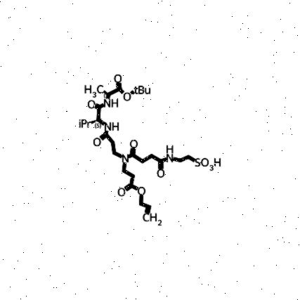 C=CCOC(=O)CCN(CCC(=O)N[C@H](C(=O)N[C@@H](C)C(=O)OC(C)(C)C)C(C)C)C(=O)CCC(=O)NCCS(=O)(=O)O